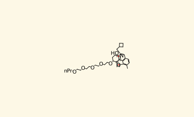 CCCOCCOCCOCCOCCOC1CC[C@@]2(O)C3Cc4ccc(C)c5c4[C@@]2(CCN3CC2CCC2)[C@H]1O5